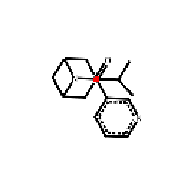 CC(C)N1CC2CC(C1)N2C(=O)c1cccnc1